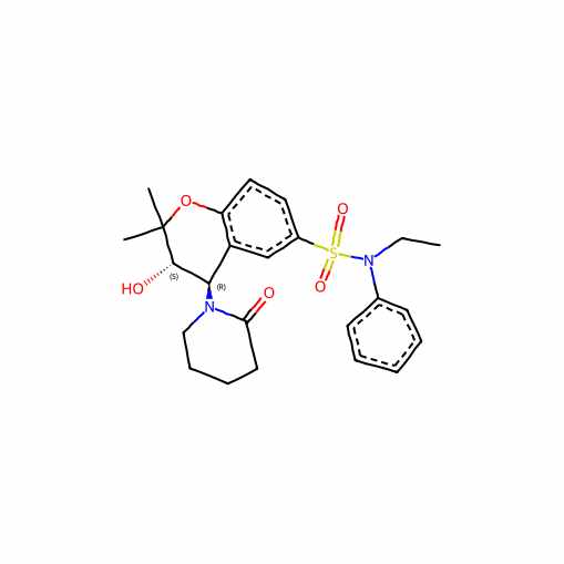 CCN(c1ccccc1)S(=O)(=O)c1ccc2c(c1)[C@@H](N1CCCCC1=O)[C@H](O)C(C)(C)O2